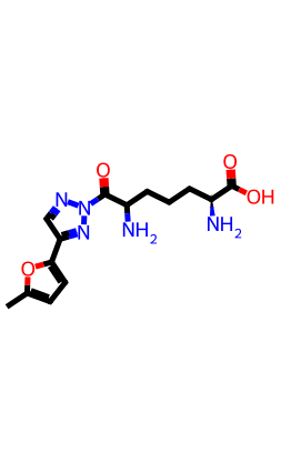 Cc1ccc(-c2cnn(C(=O)C(N)CCC[C@H](N)C(=O)O)n2)o1